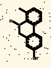 CCN1Cc2cc(O)ccc2-c2cccc(C)c21